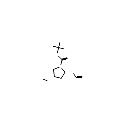 CS[C@H]1C[C@@H](OC=O)N(C(=O)OC(C)(C)C)C1